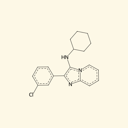 Clc1cccc(-c2nc3ccccn3c2NC2CCCCC2)c1